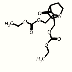 CCOC(=O)OCC1(COC(=O)OCC)C(=O)C2CCN1CC2